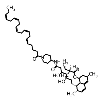 CC/C=C\C/C=C\C/C=C\C/C=C\C/C=C\CCCC(=O)N1CCC(NC(=O)C[C@H](O)C[C@@H](O)CC[C@@H]2C3C(=C[C@H](C)CC3OC(=O)C(C)(C)CC)C=C[C@@H]2C)CC1